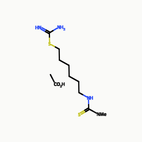 CC(=O)O.CNC(=S)NCCCCCCSC(=N)N